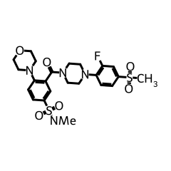 CNS(=O)(=O)c1ccc(N2CCOCC2)c(C(=O)N2CCN(c3ccc(S(C)(=O)=O)cc3F)CC2)c1